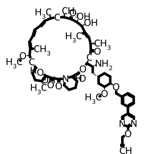 C#CCOc1ncc(-c2cccc(CO[C@@H]3CC[C@@H](C[C@@H](N)[C@@H]4CC(=O)[C@H](C)/C=C(\C)[C@@H](O)[C@@H](O)C(=O)[C@H](C)C[C@H](C)/C=C/C=C/C=C(\C)[C@@H](OC)C[C@@H]5CC[C@@H](C)[C@@](O)(O5)C(=O)C(=O)N5CCCC[C@H]5C(=O)O4)C[C@H]3OC)c2)cn1